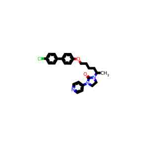 CC(CCCCOc1ccc(-c2ccc(Cl)cc2)cc1)N1CCN(c2ccncc2)C1=O